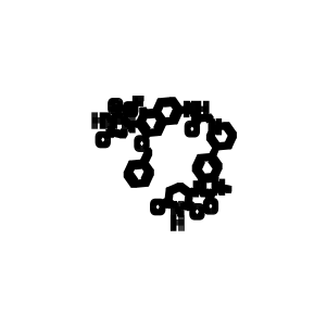 Cn1c(=O)n(C2CCC(=O)NC2=O)c2ccc([C@@H]3CCCN(CC(=O)Nc4ccc5c(F)c(N6CC(=O)NS6(=O)=O)c(OCc6ccccc6)cc5c4)C3)cc21